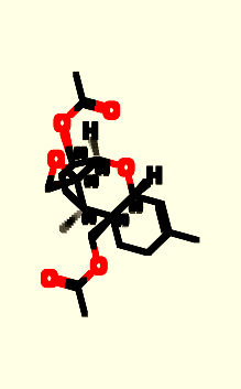 CC(=O)OC[C@]12CCC(C)=C[C@H]1O[C@@H]1[C@H](OC(C)=O)CC[C@@]2(C)[C@@]12CO2